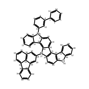 c1ccc(-c2cccc(-n3c4ccccc4c4c3ccc3c5c6c(ccc5n(-c5cc7c8c(cccc8c5)-c5ccccc5-7)c34)oc3ccccc36)c2)cc1